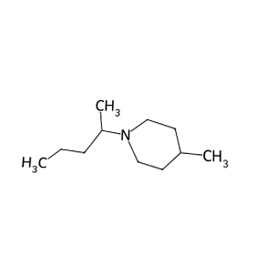 CCCC(C)N1CCC(C)CC1